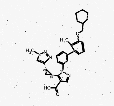 Cc1c(OCC2CCCCC2)cccc1-c1cccc(-n2ncc(C(=O)O)c2[C@H]2C[C@@H]2c2cn(C)nn2)c1